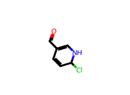 O=CC1=CNC(Cl)C=C1